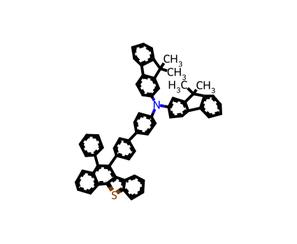 CC1(C)c2ccccc2-c2ccc(N(c3ccc(-c4ccc(-c5c(-c6ccccc6)c6ccccc6c6sc7ccccc7c56)cc4)cc3)c3ccc4c(c3)C(C)(C)c3ccccc3-4)cc21